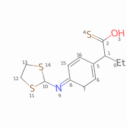 CCC(C(O)=S)C1=CCC(=NC2SCCS2)C=C1